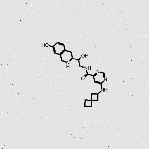 O=C(NCC(O)[C@@H]1Cc2ccc(O)cc2CN1)c1cc(NC2CC3(CCC3)C2)ncn1